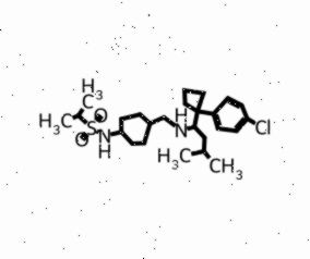 CC(C)CC(NCC1CCC(NS(=O)(=O)C(C)C)CC1)C1(c2ccc(Cl)cc2)CCC1